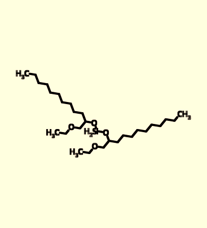 CCCCCCCCCCC(COCC)O[SiH2]OC(CCCCCCCCCC)COCC